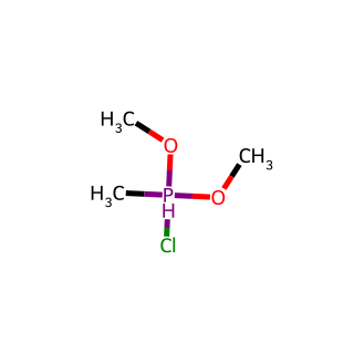 CO[PH](C)(Cl)OC